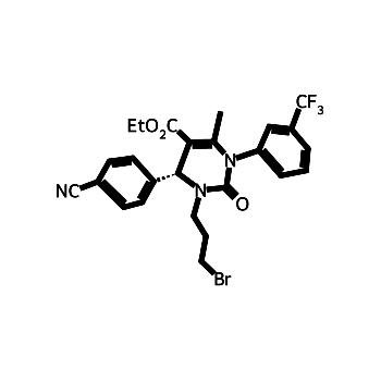 CCOC(=O)C1=C(C)N(c2cccc(C(F)(F)F)c2)C(=O)N(CCCBr)[C@@H]1c1ccc(C#N)cc1